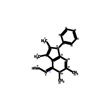 CCCCCC/N=c1\c2c(C)c(C)n(-c3ccccc3)c2nc(C)n1C